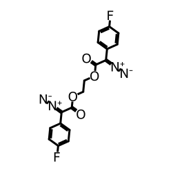 [N-]=[N+]=C(C(=O)OCCOC(=O)C(=[N+]=[N-])c1ccc(F)cc1)c1ccc(F)cc1